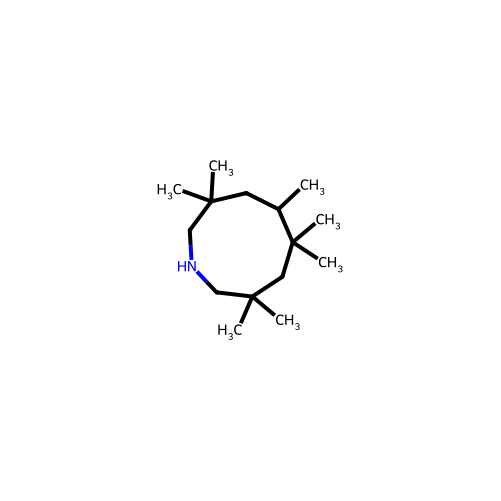 CC1CC(C)(C)CNCC(C)(C)CC1(C)C